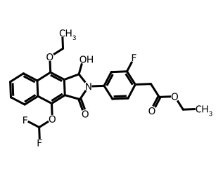 CCOC(=O)Cc1ccc(N2C(=O)c3c(c(OCC)c4ccccc4c3OC(F)F)C2O)cc1F